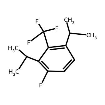 CC(C)c1c[c]c(F)c(C(C)C)c1C(F)(F)F